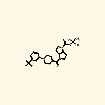 CC(C)(C)OC(=O)N1CCC2C1CCN2C(=O)C1CCN(c2cccc(C(F)(F)F)c2)CC1